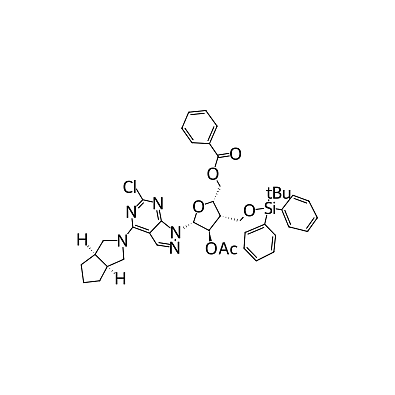 CC(=O)O[C@@H]1[C@@H](CO[Si](c2ccccc2)(c2ccccc2)C(C)(C)C)[C@@H](COC(=O)c2ccccc2)O[C@H]1n1ncc2c(N3C[C@H]4CCC[C@H]4C3)nc(Cl)nc21